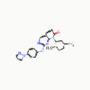 CC1CCC(C)C(n2c(=O)ccc3cnc(Nc4ccc(-n5cccn5)cc4)nc32)C1